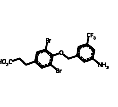 Nc1cc(COc2c(Br)cc(CCC(=O)O)cc2Br)cc(C(F)(F)F)c1